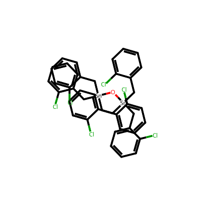 Clc1ccccc1[CH2][Sn]([CH2]c1ccccc1Cl)([CH2]c1ccccc1Cl)[O][Sn]([CH2]c1ccccc1Cl)([CH2]c1ccccc1Cl)[CH2]c1ccccc1Cl